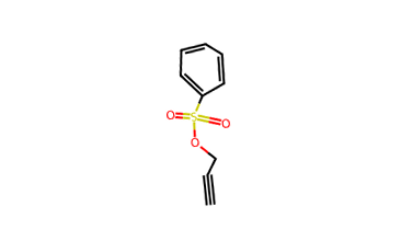 C#CCOS(=O)(=O)c1ccccc1